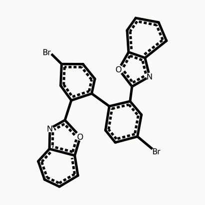 Brc1ccc(-c2ccc(Br)cc2-c2nc3ccccc3o2)c(-c2nc3ccccc3o2)c1